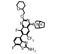 Nc1nc2c(-c3c(C(F)(F)F)cc4c(N5CC6CCC(C5)N6)nc(OCC5CCCCO5)nc4c3F)ccc(F)c2s1